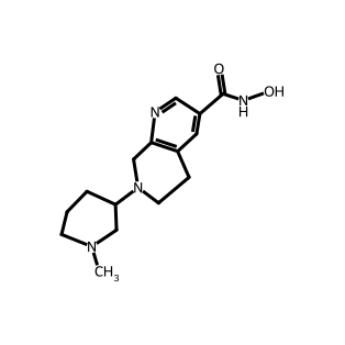 CN1CCCC(N2CCc3cc(C(=O)NO)cnc3C2)C1